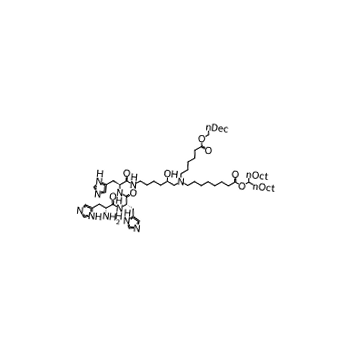 CCCCCCCCCCCOC(=O)CCCCCN(CCCCCCCC(=O)OC(CCCCCCCC)CCCCCCCC)CC(O)CCCCNC(=O)[C@H](Cc1cnc[nH]1)NC(=O)[C@H](Cc1cnc[nH]1)NC(=O)[C@H](N)Cc1cnc[nH]1